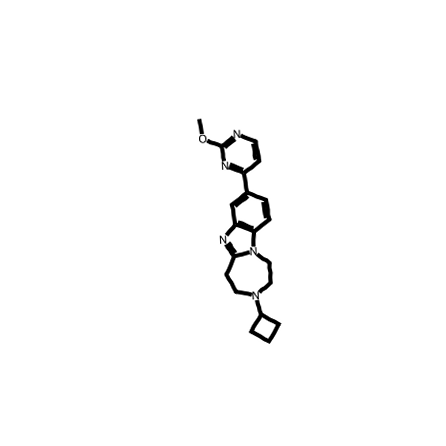 COc1nccc(-c2ccc3c(c2)nc2n3CCN(C3CCC3)CC2)n1